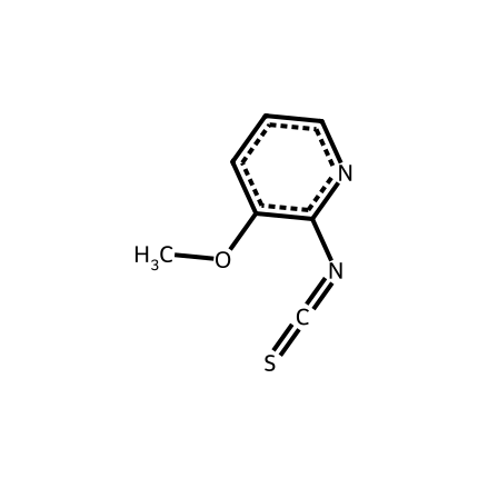 COc1cccnc1N=C=S